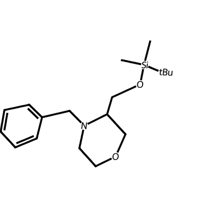 CC(C)(C)[Si](C)(C)OCC1COCCN1Cc1ccccc1